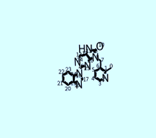 Cc1ncccc1Cn1c(=O)[nH]c2cnc(-n3cnc4ccccc43)nc21